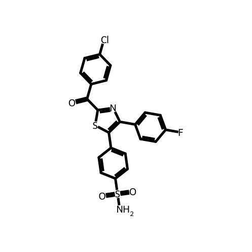 NS(=O)(=O)c1ccc(-c2sc(C(=O)c3ccc(Cl)cc3)nc2-c2ccc(F)cc2)cc1